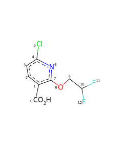 O=C(O)c1ccc(Cl)nc1OCC(F)F